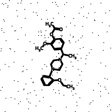 CCOc1ccccc1N1CCN(C(C)c2ccc(OC(C)=O)c(OC)c2)CC1